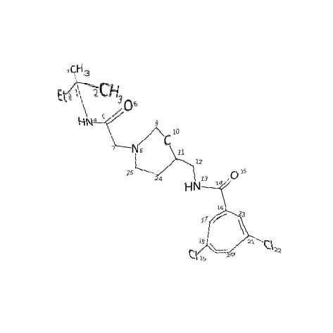 CCC(C)(C)NC(=O)CN1CCC(CNC(=O)c2cc(Cl)cc(Cl)c2)CC1